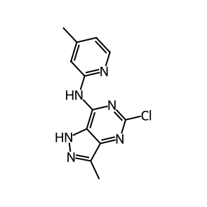 Cc1ccnc(Nc2nc(Cl)nc3c(C)n[nH]c23)c1